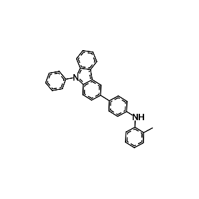 Cc1ccccc1Nc1ccc(-c2ccc3c(c2)c2ccccc2n3-c2ccccc2)cc1